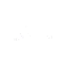 CN(C)Cc1oc(CSCCN)cc1CO